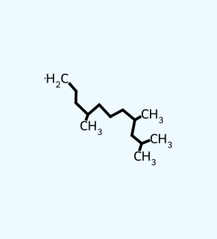 [CH2]CCC(C)CCCC(C)CC(C)C